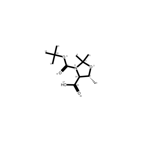 C[C@H]1OC(C)(C)N(C(=O)OC(C)(C)C)C1C(=O)O